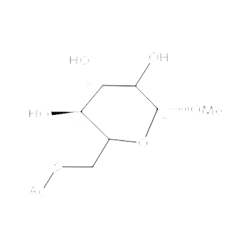 CO[C@@H]1OC(CSC(C)=O)[C@@H](O)[C@H](O)C1O